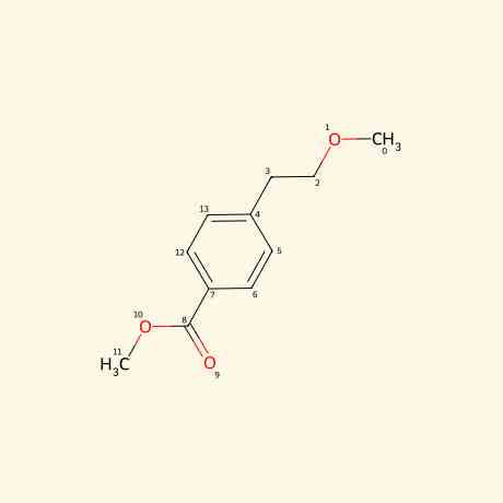 COCCc1ccc(C(=O)OC)cc1